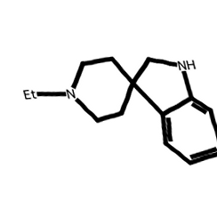 CCN1CCC2(CC1)CNc1ccccc12